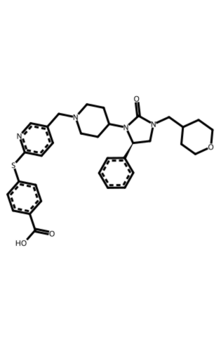 O=C(O)c1ccc(Sc2ccc(CN3CCC(N4C(=O)N(CC5CCOCC5)C[C@H]4c4ccccc4)CC3)cn2)cc1